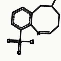 CC1CC/C=N\c2c(cccc2S(=O)(=O)Cl)C1